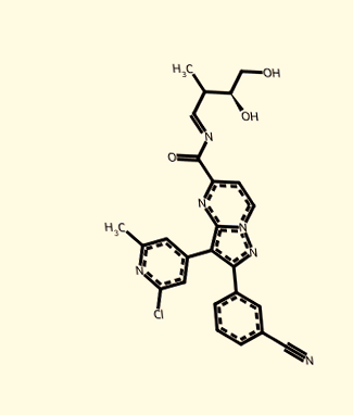 Cc1cc(-c2c(-c3cccc(C#N)c3)nn3ccc(C(=O)/N=C/C(C)[C@H](O)CO)nc23)cc(Cl)n1